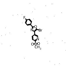 CS(=O)(=O)c1ccc(-c2nc(-c3ccc(F)cc3)oc2Br)cn1